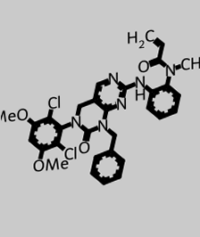 C=CC(=O)N(C)c1ccccc1Nc1ncc2c(n1)N(Cc1ccccc1)C(=O)N(c1c(Cl)c(OC)cc(OC)c1Cl)C2